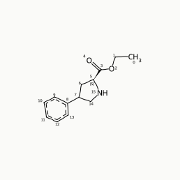 CCOC(=O)[C@@H]1CC(c2ccccc2)CN1